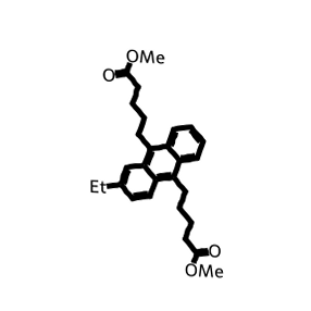 CCc1ccc2c(CCCCC(=O)OC)c3ccccc3c(CCCCC(=O)OC)c2c1